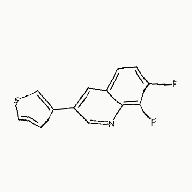 Fc1ccc2cc(-c3ccsc3)cnc2c1F